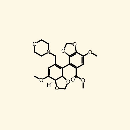 COC(=O)c1cc(OC)c2c(c1C1=C(CN3CCOCC3)C=C(OC)[C@@H]3OCOC13)OCO2